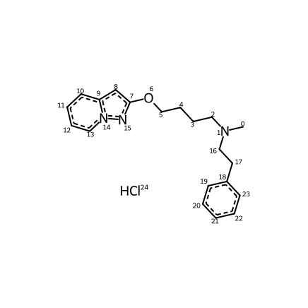 CN(CCCCOc1cc2ccccn2n1)CCc1ccccc1.Cl